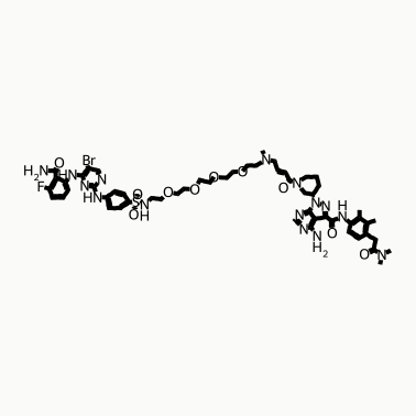 Cc1c(CC(=O)N(C)C)ccc(NC(=O)c2nn([C@@H]3CCCN(C(=O)/C=C/CN(C)CCOCCOCCOCCOCCNS(=O)(=O)c4ccc(Nc5ncc(Br)c(Nc6cccc(F)c6C(N)=O)n5)cc4)C3)c3ncnc(N)c23)c1C